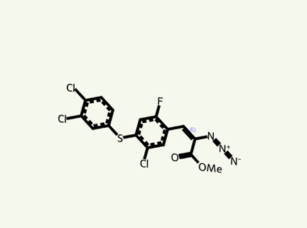 COC(=O)/C(=C\c1cc(Cl)c(Sc2ccc(Cl)c(Cl)c2)cc1F)N=[N+]=[N-]